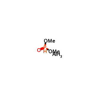 CO[PH](=O)OC.[AlH3]